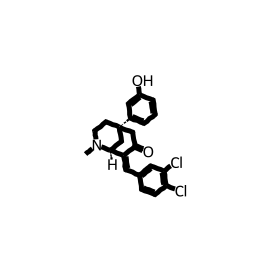 CN1CC[C@@]2(c3cccc(O)c3)CC(=O)/C(=C\c3ccc(Cl)c(Cl)c3)[C@@H]1C2